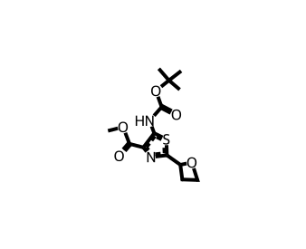 COC(=O)c1nc(C2CCO2)sc1NC(=O)OC(C)(C)C